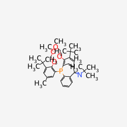 COCOc1c(P2c3ccccc3/C(=N/C(C)(C)C)c3cc2c(OCOC)c(C(C)(C)C)c3)cc(C)cc1C(C)(C)C